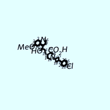 COc1ccc2nccc(C(O)CC[C@@H]3CCN(C4CC(c5ccc(Cl)cc5)C4)C[C@@H]3C(=O)O)c2c1